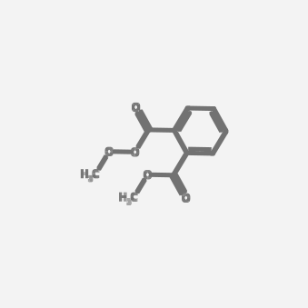 COOC(=O)c1ccccc1C(=O)OC